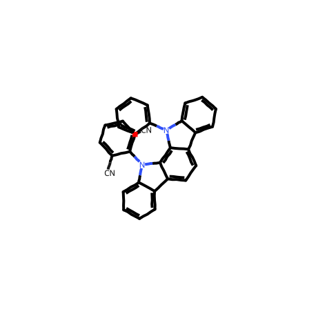 N#Cc1cccc(C#N)c1-n1c2ccccc2c2ccc3c4ccccc4n(-c4ccccc4)c3c21